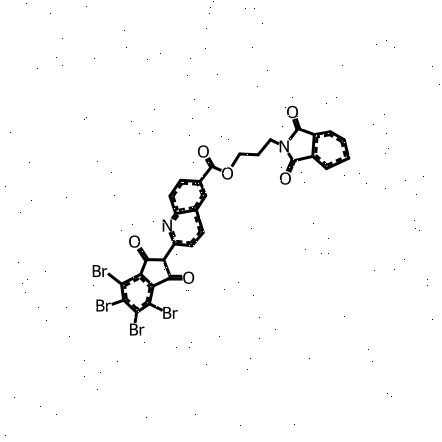 O=C(OCCCN1C(=O)c2ccccc2C1=O)c1ccc2nc(C3C(=O)c4c(Br)c(Br)c(Br)c(Br)c4C3=O)ccc2c1